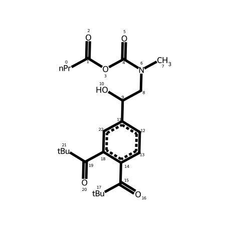 CCCC(=O)OC(=O)N(C)CC(O)c1ccc(C(=O)C(C)(C)C)c(C(=O)C(C)(C)C)c1